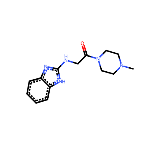 CN1CCN(C(=O)CNc2nc3ccccc3[nH]2)CC1